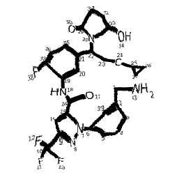 NCc1cccc(-n2nc(C(F)(F)F)cc2C(=O)NC2=CC(C(CCC3CC3)N3C(=O)CCC3O)CC=C2F)c1